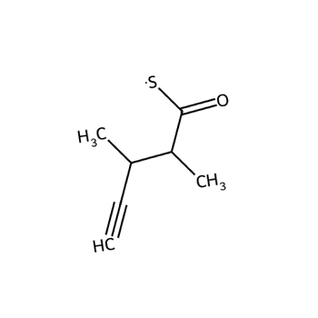 C#CC(C)C(C)C(=O)[S]